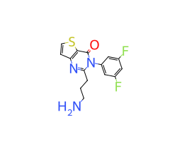 NCCCc1nc2ccsc2c(=O)n1-c1cc(F)cc(F)c1